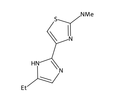 CCc1cnc(-c2csc(NC)n2)[nH]1